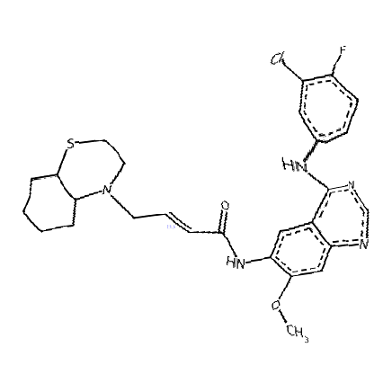 COc1cc2ncnc(Nc3ccc(F)c(Cl)c3)c2cc1NC(=O)/C=C/CN1CCSC2CCCCC21